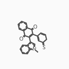 Cn1cc(C2=C(C3=CC(=S)CC=C3)C(=O)c3ccccc3C2=O)c2ccccc21